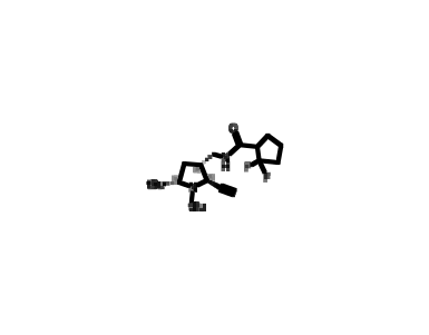 C#C[C@@H]1[C@@H](CNC(=O)C2CCCC2(F)F)C[C@@H](C(C)(C)C)N1C(C)(C)C